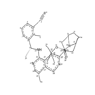 Cc1c(C#N)cccc1[C@@H](C)Nc1nnc(C)c2cnc(N3CC4CCC(C3)N4C(=O)OC(C)(C)C)cc12